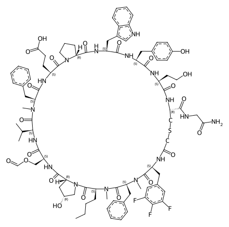 CCCC[C@H]1C(=O)N2C[C@H](O)C[C@@H]2C(=O)N[C@@H](COC=O)C(=O)N[C@@H](C(C)C)C(=O)N(C)[C@@H](Cc2ccccc2)C(=O)N[C@@H](CCC(=O)O)C(=O)N2CCC[C@@H]2C(=O)N[C@@H](Cc2c[nH]c3ccccc23)C(=O)N[C@@H](Cc2ccc(O)cc2)C(=O)N[C@@H](CCO)C(=O)N[C@H](C(=O)NCC(N)=O)CSCC(=O)N[C@@H](Cc2cc(F)c(F)c(F)c2)C(=O)N(C)[C@@H](Cc2ccccc2)C(=O)N1C